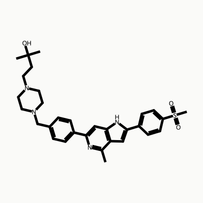 Cc1nc(-c2ccc(CN3CCN(CCC(C)(C)O)CC3)cc2)cc2[nH]c(-c3ccc(S(C)(=O)=O)cc3)cc12